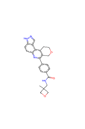 CC1(CNC(=O)c2ccc(-c3nc4ccc5[nH]ncc5c4c4c3COCC4)cc2)COC1